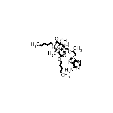 CCCCCOC(=O)[C@@H](C)NP(=O)(CO[C@H](C)Cn1cnc2c(N)ncnc21)NC(C)(C)C(=O)OCCCCC